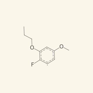 CCCOc1cc(OC)c[c]c1F